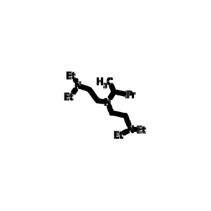 CCN(CC)CCN(CCN(CC)CC)C(C)C(C)C